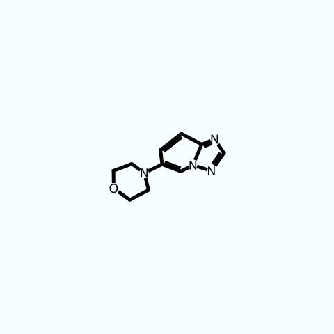 c1nc2ccc(N3CCOCC3)cn2n1